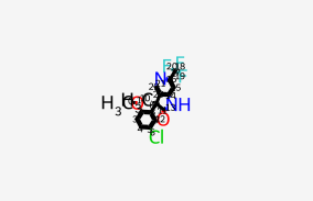 COc1ccc(Cl)cc1[C@]1(C)C(=O)Nc2cc(C(F)(F)F)ncc21